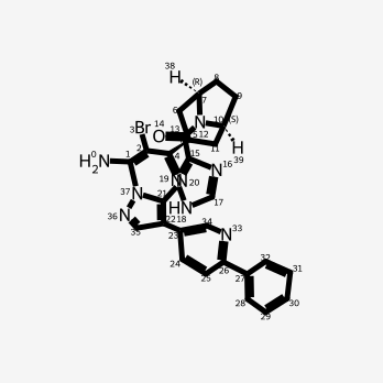 Nc1c(Br)c([C@H]2C[C@H]3CC[C@@H](C2)N3C(=O)c2nc[nH]n2)nc2c(-c3ccc(-c4ccccc4)nc3)cnn12